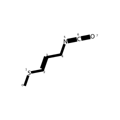 CSC=CCN=C=O